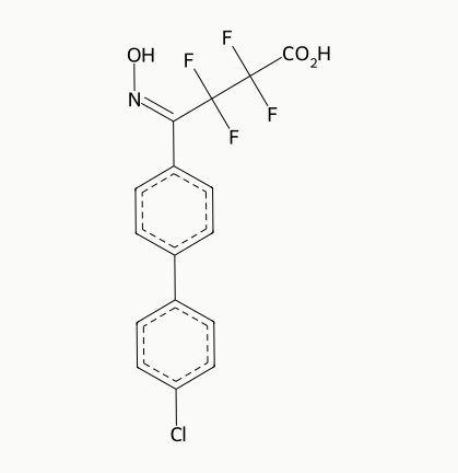 O=C(O)C(F)(F)C(F)(F)/C(=N\O)c1ccc(-c2ccc(Cl)cc2)cc1